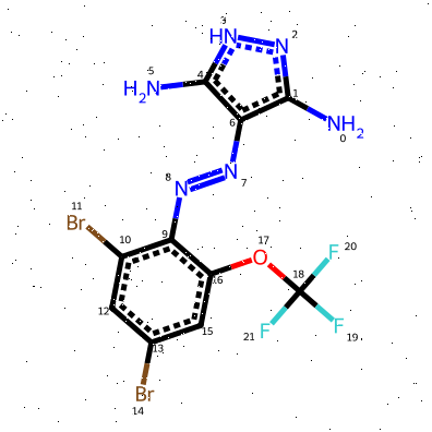 Nc1n[nH]c(N)c1N=Nc1c(Br)cc(Br)cc1OC(F)(F)F